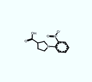 O=C(O)C1CCN(c2ccccc2[N+](=O)[O-])C1